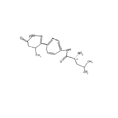 CC(C)C[C@@H](N)C(=O)Nc1ccc(C2=NNC(=O)CC2C)cc1